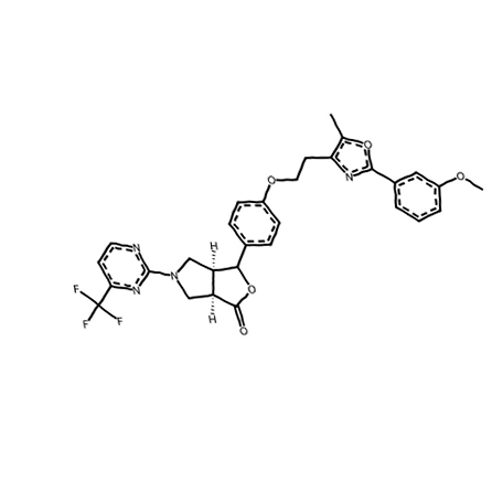 COc1cccc(-c2nc(CCOc3ccc(C4OC(=O)[C@H]5CN(c6nccc(C(F)(F)F)n6)C[C@@H]45)cc3)c(C)o2)c1